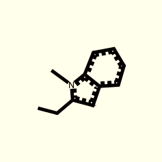 CCc1[c]c2ccccc2n1C